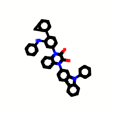 O=c1c(=O)n(-c2ccc3c4ccccc4n(-c4ccccc4)c3c2)c2ccccc2n1-c1ccc(-c2cccc3c2C3)c(Nc2ccccc2)c1